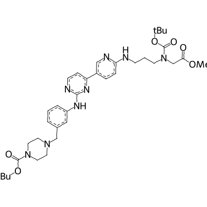 COC(=O)CN(CCCNc1ccc(-c2ccnc(Nc3cccc(CN4CCN(C(=O)OC(C)(C)C)CC4)c3)n2)cn1)C(=O)OC(C)(C)C